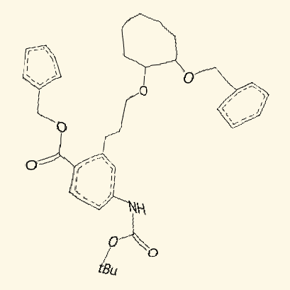 CC(C)(C)OC(=O)Nc1ccc(C(=O)OCc2ccccc2)c(CCCOC2CCCCCC2OCc2ccccc2)c1